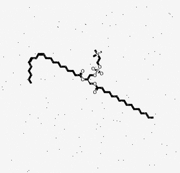 CCCCC/C=C\C/C=C\CCCCCCCCCC(=O)O[C@H](COC(=O)CCCCCCCCCCCCCCC)COP(=O)([O-])OCC[N+](C)(C)C